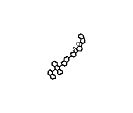 c1ccc2c(-c3c4ccccc4c(-c4ccc5cc(-c6ccc7c(c6)sc6c7ccc7c8ccc9ccccc9c8oc76)ccc5c4)c4ccccc34)cccc2c1